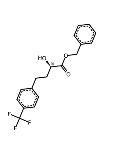 O=C(OCc1ccccc1)[C@H](O)CCc1ccc(C(F)(F)F)cc1